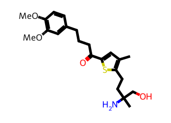 COc1ccc(CCCC(=O)c2cc(C)c(CCC(C)(N)CO)s2)cc1OC